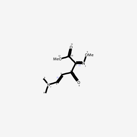 CO/N=C(/C(=O)/C=C/N(C)C)C(=O)OC